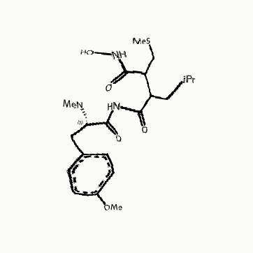 CN[C@@H](Cc1ccc(OC)cc1)C(=O)NC(=O)C(CC(C)C)C(CSC)C(=O)NO